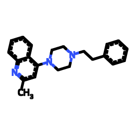 Cc1cc(N2CCN(CCc3ccccc3)CC2)c2ccccc2n1